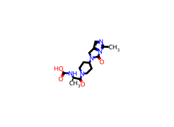 Cc1ncc2n1C(=O)N(C1CCN(C(=O)[C@@H](C)NC(=O)O)CC1)C2